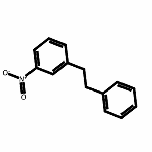 O=[N+]([O-])c1cccc(CCc2ccccc2)c1